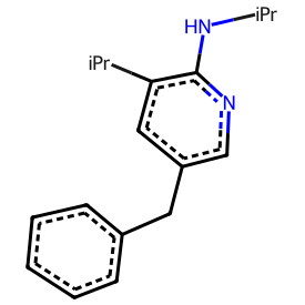 CC(C)Nc1ncc(Cc2ccccc2)cc1C(C)C